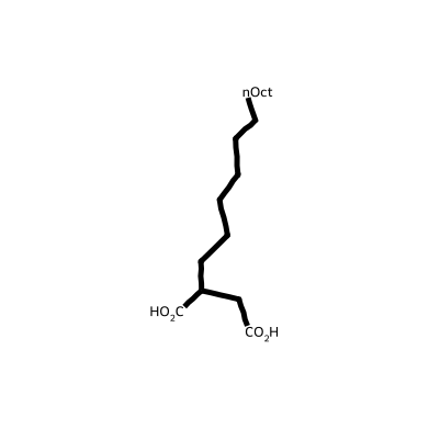 CCCCCCCCCCCCCCC(CC(=O)O)C(=O)O